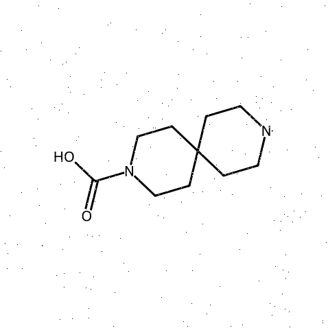 O=C(O)N1CCC2(CC[N]CC2)CC1